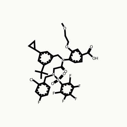 COCCOc1cc(C(=O)O)ccc1N(Cc1cc(C2CC2)cc(C(C)(C)C)c1)C(=O)CN(Cc1ccc(F)cc1Cl)S(=O)(=O)c1c(F)c(F)c(F)c(F)c1F